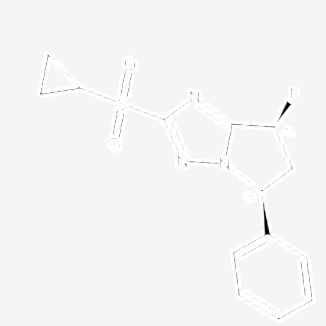 O=S(=O)(c1nc2n(n1)[C@H](c1ccccc1)C[C@@H]2F)C1CC1